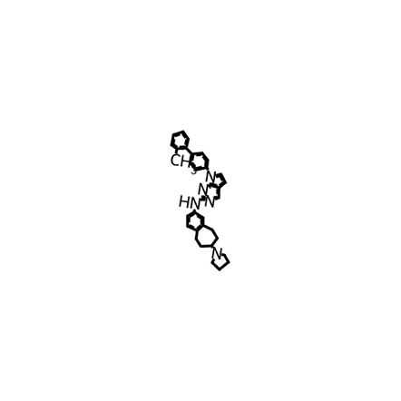 Cc1ccccc1-c1ccc(-n2ccc3cnc(Nc4ccc5c(c4)CCC(N4CCCC4)CC5)nc32)cc1